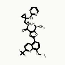 COc1ccc(-c2nc(C(=O)NCC3(Nc4ncccn4)CC3)c([C@H](C)N)o2)c2ccc(C(F)(F)F)nc12